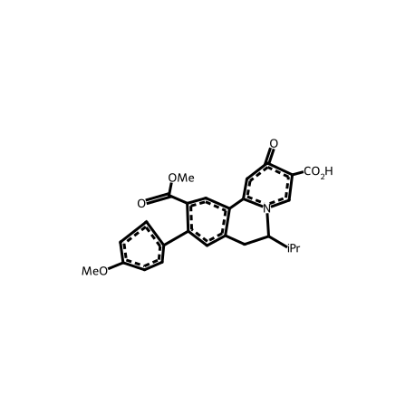 COC(=O)c1cc2c(cc1-c1ccc(OC)cc1)CC(C(C)C)n1cc(C(=O)O)c(=O)cc1-2